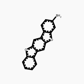 Bc1ccc2c(c1)oc1cc3c(cc12)oc1ccccc13